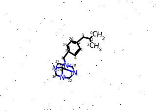 CC(C)Cc1ccc(C[N+]23CN4CN(CN(C4)C2)C3)cc1